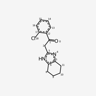 O=C(Cc1nc2c([nH]1)CCCC2)c1ccccc1Cl